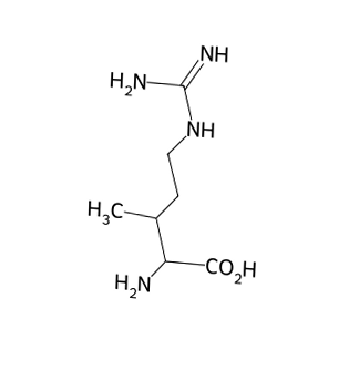 CC(CCNC(=N)N)C(N)C(=O)O